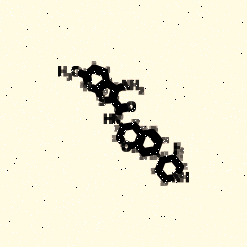 Cc1ccc2c(N)c(C(=O)N[C@H]3COc4cc([C@H]5CCNC[C@H]5F)ccc4C3)sc2n1